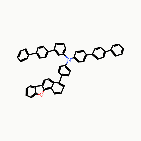 c1ccc(-c2ccc(-c3ccc(N(c4ccc(-c5cccc6c5ccc5c7ccccc7oc65)cc4)c4cccc(-c5ccc(-c6ccccc6)cc5)c4)cc3)cc2)cc1